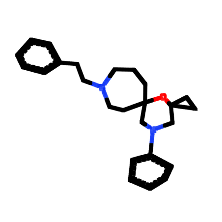 c1ccc(CCN2CCCC3(CC2)CN(c2ccccc2)CC2(CC2)O3)cc1